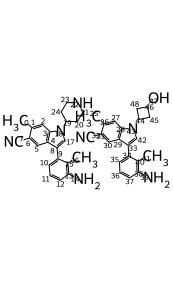 Cc1cc2c(cc1C#N)c(-c1cccc(N)c1C)cn2C1CCNCC1.Cc1cc2c(cc1C#N)c(-c1cccc(N)c1C)cn2[C@H]1C[C@@H](O)C1